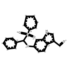 O=Cc1c[nH]c2cc(OC(c3ccccc3)S(=O)(=O)c3ccccc3)ccc12